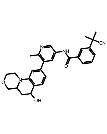 Cc1ncc(NC(=O)c2cccc(C(C)(C)C#N)c2)cc1-c1ccc2c(c1)N1CCOCC1CC2O